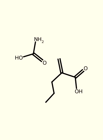 C=C(CCC)C(=O)O.NC(=O)O